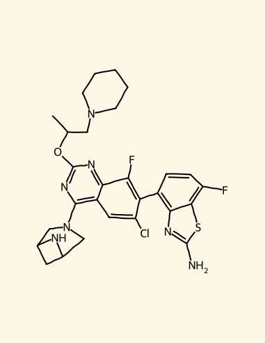 CC(CN1CCCCC1)Oc1nc(N2CC3CC(C2)N3)c2cc(Cl)c(-c3ccc(F)c4sc(N)nc34)c(F)c2n1